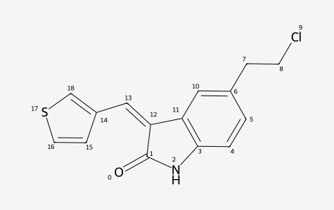 O=C1Nc2ccc(CCCl)cc2C1=Cc1ccsc1